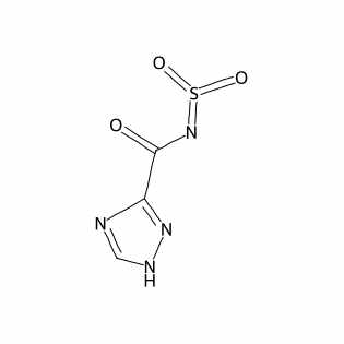 O=C(N=S(=O)=O)c1nc[nH]n1